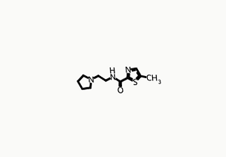 Cc1cnc(C(=O)NCCN2CCCC2)s1